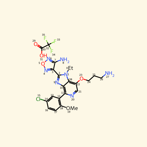 CCn1c(-c2nonc2N)nc2c(-c3cc(Cl)ccc3OC)ncc(OCCCN)c21.O=C(O)C(F)(F)F